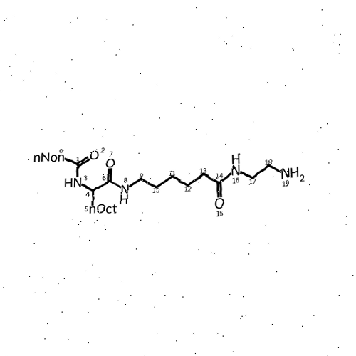 CCCCCCCCCC(=O)NC(CCCCCCCC)C(=O)NCCCCCC(=O)NCCN